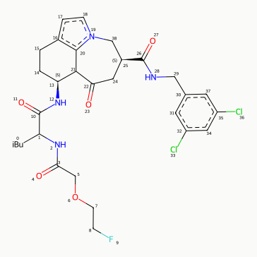 CCC(C)C(NC(=O)COCCF)C(=O)N[C@H]1CCc2ccn3c2C1C(=O)C[C@H](C(=O)NCc1cc(Cl)cc(Cl)c1)C3